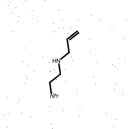 C=CCNCCCCC